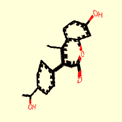 Cc1c(-c2ccc(C(C)O)cc2)c(=O)oc2cc(O)ccc12